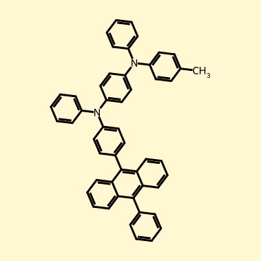 Cc1ccc(N(c2ccccc2)c2ccc(N(c3ccccc3)c3ccc(-c4c5ccccc5c(-c5ccccc5)c5ccccc45)cc3)cc2)cc1